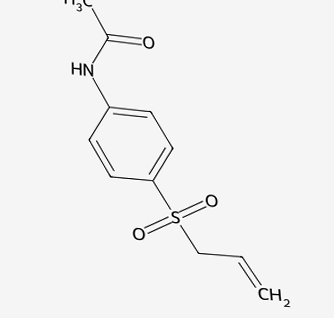 C=CCS(=O)(=O)c1ccc(NC(C)=O)cc1